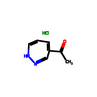 CC(=O)C1=CC=CNN=C1.Cl